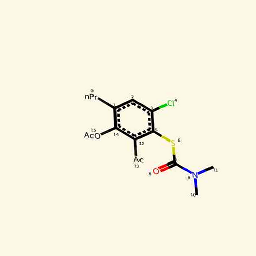 CCCc1cc(Cl)c(SC(=O)N(C)C)c(C(C)=O)c1OC(C)=O